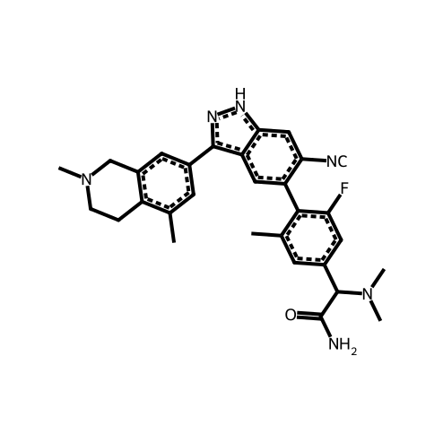 [C-]#[N+]c1cc2[nH]nc(-c3cc(C)c4c(c3)CN(C)CC4)c2cc1-c1c(C)cc(C(C(N)=O)N(C)C)cc1F